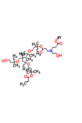 C=CC(=O)OC(C)(C)CCOC(C)(C)CC(CC)(COC(C)(C)CCO)CC(C)(C)OCCC(C)(C)OC(=O)CCN(CCO)CCC(=O)OC(C)C